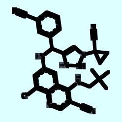 CC(C)(C)CNc1c(C#N)cnc2c(Cl)cc(NC(C3=CN(C4(C#N)CC4)NN3)c3cccc(C#N)c3)cc12